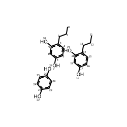 CCCc1ccc(O)cc1O.CCCc1ccc(O)cc1O.Oc1ccc(O)cc1